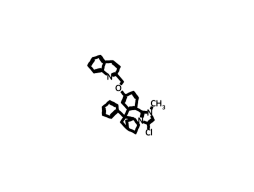 Cn1cc(Cl)nc1-c1ccc(OCc2ccc3ccccc3n2)cc1C1(c2ccccc2)CC2CCC1C2